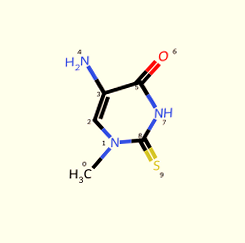 Cn1cc(N)c(=O)[nH]c1=S